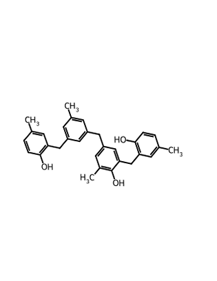 Cc1cc(Cc2cc(C)c(O)c(Cc3cc(C)ccc3O)c2)cc(Cc2cc(C)ccc2O)c1